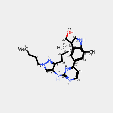 COCCCn1cc(Nc2nccc(-c3cc(C#N)c4c(c3)[C@@](C)(CO)CN4)n2)c(CCC(C)C)n1